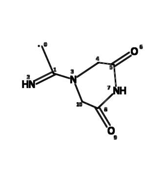 [CH2]C(=N)N1CC(=O)NC(=O)C1